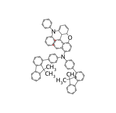 CC1(C)c2ccccc2-c2cccc(-c3ccc(N(c4ccc(-c5cccc6c5C(C)(C)c5ccccc5-6)cc4)c4ccc5c6c(cccc46)C4C(N(c6ccccc6)c6ccccc6)=CC=CC4O5)cc3)c21